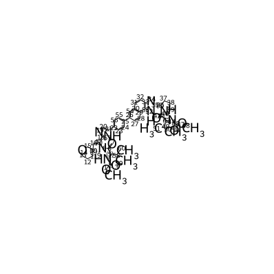 COC(=O)N[C@H](C(=O)N1C[C@@]2(CCCOC2)C[C@H]1c1ncc(-c2ccc(-c3ccc4c(ccc5nc([C@@H]6CCCN6C(=O)[C@@H](NC(=O)OC)C(C)C)[nH]c54)c3)cc2)[nH]1)C(C)C